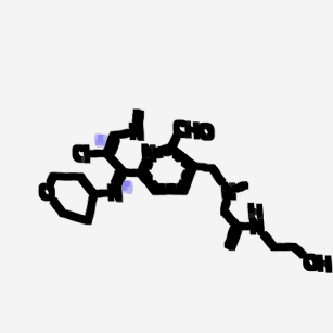 C=N/C=C(Cl)\C(=N/C1CCOCC1)c1ccc(CN(C)CC(=C)NCCO)c(C=O)n1